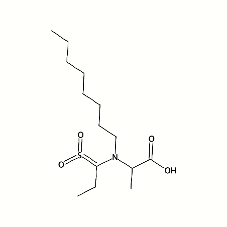 CCCCCCCCN(C(CC)=S(=O)=O)C(C)C(=O)O